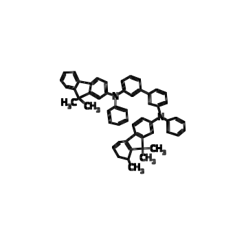 CC1CC=CC2=C1C(C)(C)c1cc(N(c3ccccc3)c3cccc(-c4cccc(N(c5ccccc5)c5ccc6c(c5)C(C)(C)c5ccccc5-6)c4)c3)ccc12